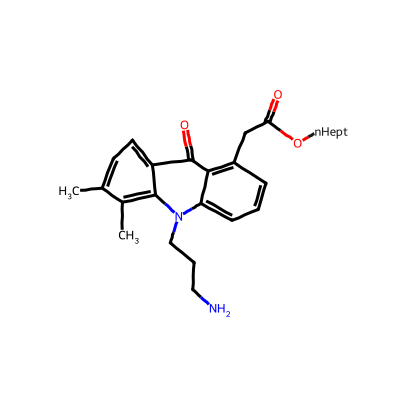 CCCCCCCOC(=O)Cc1cccc2c1c(=O)c1ccc(C)c(C)c1n2CCCN